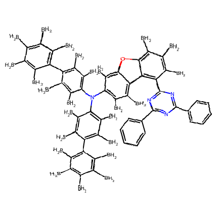 Bc1c(B)c(B)c(-c2c(B)c(B)c(N(c3c(B)c(B)c(-c4c(B)c(B)c(B)c(B)c4B)c(B)c3B)c3c(B)c(B)c4c(oc5c(B)c(B)c(B)c(-c6nc(-c7ccccc7)nc(-c7ccccc7)n6)c54)c3B)c(B)c2B)c(B)c1B